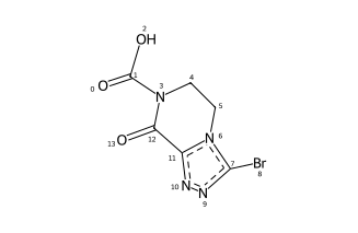 O=C(O)N1CCn2c(Br)nnc2C1=O